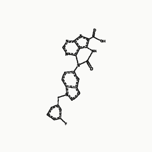 O=C(O)c1sc2ncnc3c2c1NC(=O)N3c1ccc2c(ccn2Cc2cccc(F)c2)c1